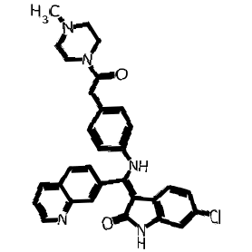 CN1CCN(C(=O)Cc2ccc(NC(=C3C(=O)Nc4cc(Cl)ccc43)c3ccc4cccnc4c3)cc2)CC1